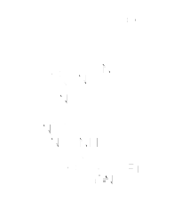 CCc1cc(C(=O)Nc2n[nH]c3c2CN(C(=O)N2C[C@@H](C)N(CC4CCOCC4)C[C@H]2C)C3C)on1